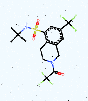 CC(C)(C)NS(=O)(=O)c1cc(C(F)(F)F)cc2c1CCN(C(=O)C(F)(F)F)C2